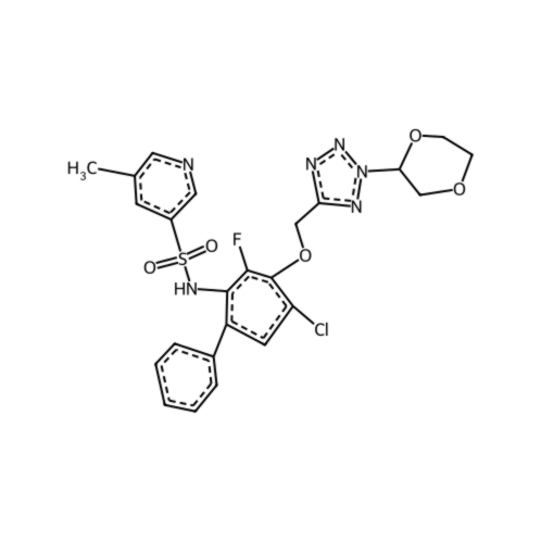 Cc1cncc(S(=O)(=O)Nc2c(-c3ccccc3)cc(Cl)c(OCc3nnn(C4COCCO4)n3)c2F)c1